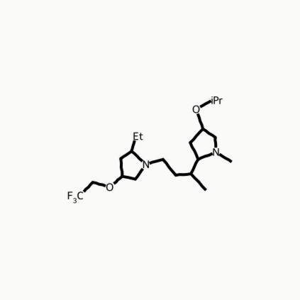 CCC1CC(OCC(F)(F)F)CN1CCC(C)C1CC(OC(C)C)CN1C